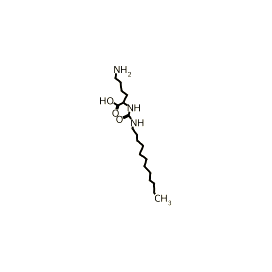 CCCCCCCCCCCCNC(=O)NC(CCCCN)C(=O)O